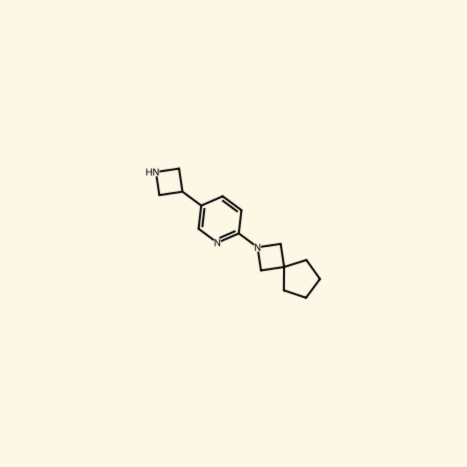 c1cc(N2CC3(CCCC3)C2)ncc1C1CNC1